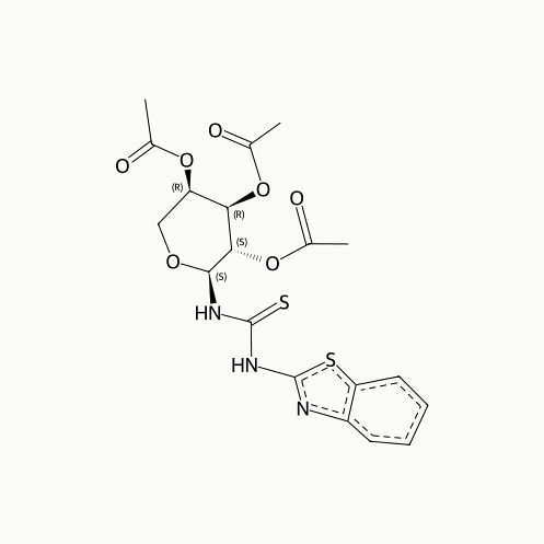 CC(=O)O[C@H]1[C@H](OC(C)=O)[C@@H](NC(=S)Nc2nc3ccccc3s2)OC[C@H]1OC(C)=O